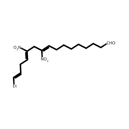 CC/C=C/C/C=C(/C/C(=C/CCCCCCC[C]=O)[N+](=O)[O-])[N+](=O)[O-]